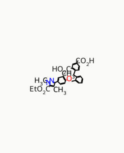 CCOC(=O)c1c(C)c(-c2ccc(OCc3ccccc3Cc3ccc(C(=O)O)cc3C(=O)O)c(C)c2)nn1C